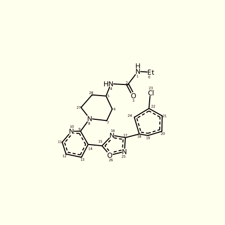 CCNC(=O)NC1CCN(c2ncccc2-c2nc(-c3cccc(Cl)c3)no2)CC1